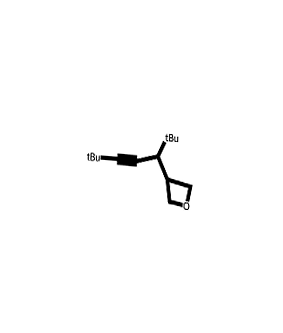 CC(C)(C)C#CC(C1COC1)C(C)(C)C